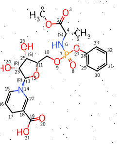 COC(=O)[C@H](C)NP(=O)(OCC1O[C@@H](N2C=CCC(C(=O)O)=C2)[C@H](O)[C@@H]1O)Oc1ccccc1